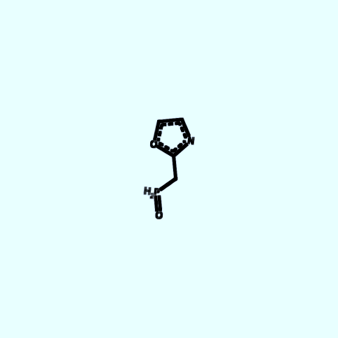 O=[PH2]Cc1ncco1